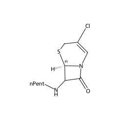 CCCCCNC1C(=O)N2C=C(Cl)CS[C@H]12